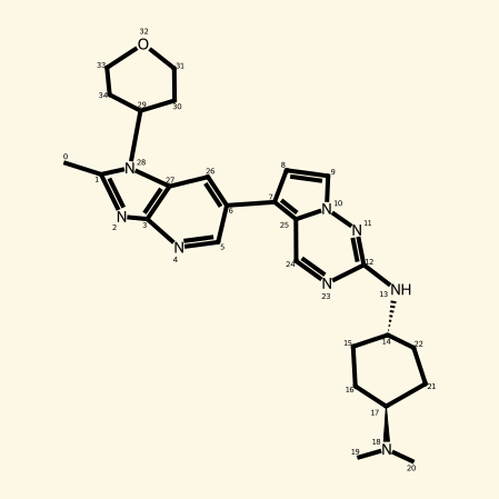 Cc1nc2ncc(-c3ccn4nc(N[C@H]5CC[C@H](N(C)C)CC5)ncc34)cc2n1C1CCOCC1